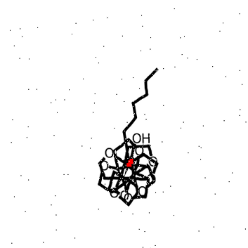 CCCCCCC1(O)CCOC12CCOC21CCOC12CCOC21CCOC12CCOC21CCOC12CCOC21CCOC12CCO2